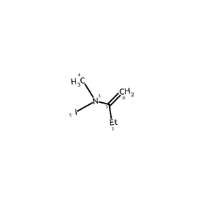 C=C(CC)N(C)I